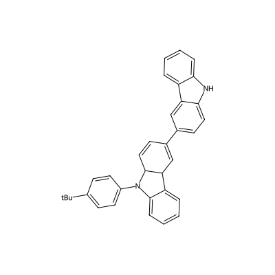 CC(C)(C)c1ccc(N2c3ccccc3C3C=C(c4ccc5[nH]c6ccccc6c5c4)C=CC32)cc1